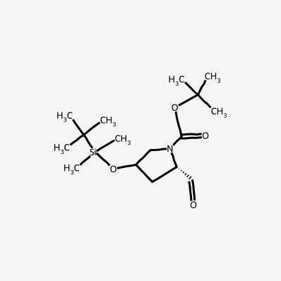 CC(C)(C)OC(=O)N1CC(O[Si](C)(C)C(C)(C)C)C[C@H]1C=O